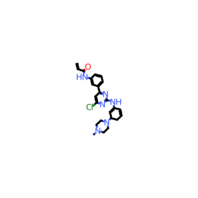 C=CC(=O)Nc1cccc(-c2cc(Cl)nc(NC3=CC(N4CCN(C)CC4)CC=C3)n2)c1